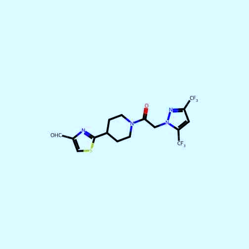 O=Cc1csc(C2CCN(C(=O)Cn3nc(C(F)(F)F)cc3C(F)(F)F)CC2)n1